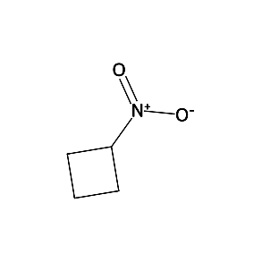 O=[N+]([O-])C1CCC1